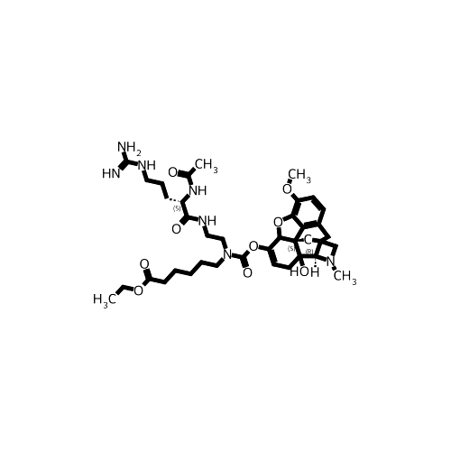 CCOC(=O)CCCCCN(CCNC(=O)[C@H](CCCNC(=N)N)NC(C)=O)C(=O)OC1=CCC2(O)[C@@H]3N(C)CC34Cc3ccc(OC)c5c3[C@@]2(C4)C1O5